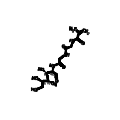 C=C(C)C(=O)NCC(=O)NCC(=O)N[C@@H](C=O)[C@@H](O)[C@H](O)[C@H](O)CO